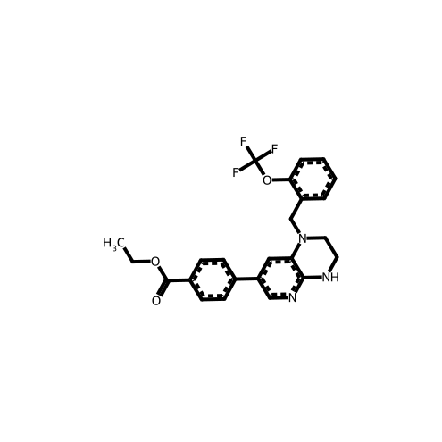 CCOC(=O)c1ccc(-c2cnc3c(c2)N(Cc2ccccc2OC(F)(F)F)CCN3)cc1